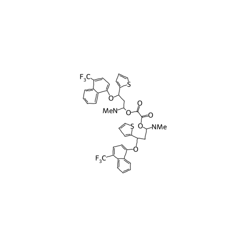 CNC(CC(Oc1ccc(C(F)(F)F)c2ccccc12)c1cccs1)OC(=O)C(=O)OC(CC(Oc1ccc(C(F)(F)F)c2ccccc12)c1cccs1)NC